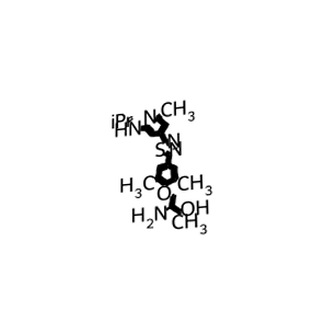 Cc1cc(-c2nnc(-c3cc(C)c(OC[C@H](N)[C@@H](C)O)c(C)c3)s2)cc(NC(C)C)n1